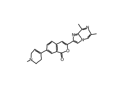 Cc1cn2cc(-c3cc4ccc(C5=CCN(C)CC5)cc4c(=O)o3)nc2c(C)n1